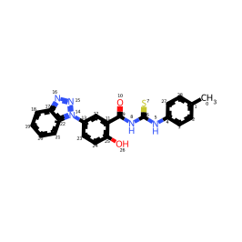 Cc1ccc(NC(=S)NC(=O)c2cc(-n3nnc4ccccc43)ccc2O)cc1